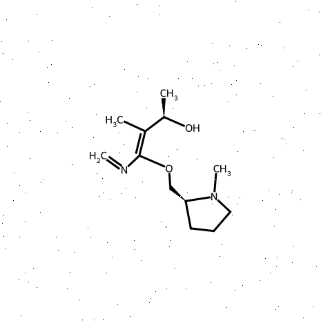 C=N/C(OC[C@@H]1CCCN1C)=C(\C)[C@@H](C)O